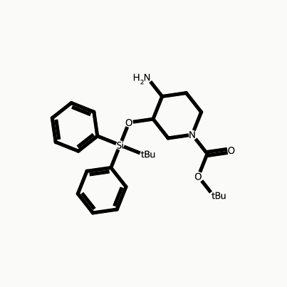 CC(C)(C)OC(=O)N1CCC(N)C(O[Si](c2ccccc2)(c2ccccc2)C(C)(C)C)C1